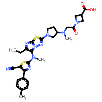 CCc1nc2sc(N3CCC(N(C)CC(=O)N4CC(C(=O)O)C4)C3)nn2c1N(C)c1nc(-c2ccc(C)cc2)c(C#N)s1